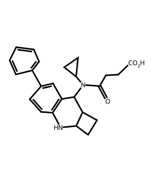 O=C(O)CCC(=O)N(C1CC1)C1c2cc(-c3ccccc3)ccc2NC2CCC21